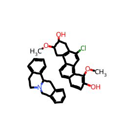 COc1c(O)ccc2ccc3c4c(c(Cl)cc3c12)CC(O)C(OC)C4.c1ccc2c(c1)CC1c3ccccc3CCN1C2